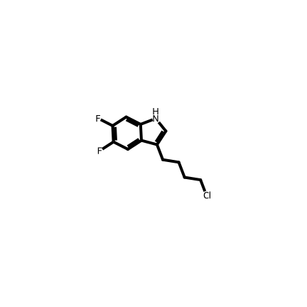 Fc1cc2[nH]cc(CCCCCl)c2cc1F